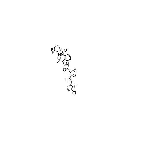 CC(=O)c1nn(CC(=O)N(CC(=O)NCc2cccc(Cl)c2F)C2CC2)c2cccc(NC(=O)N3CCCC(F)(F)C3)c12